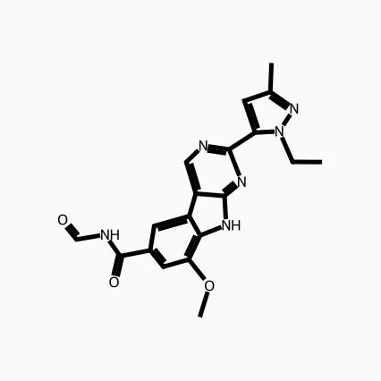 CCn1nc(C)cc1-c1ncc2c(n1)[nH]c1c(OC)cc(C(=O)NC=O)cc12